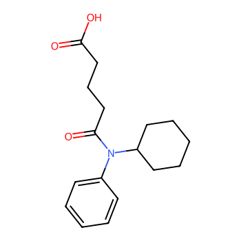 O=C(O)CCCC(=O)N(c1ccccc1)C1CCCCC1